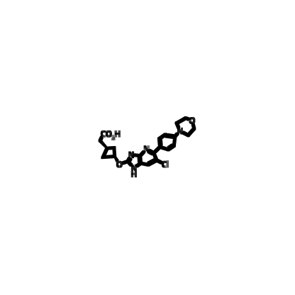 O=C(O)C[C@H]1C[C@@H](Oc2nc3nc(-c4ccc(N5CCOCC5)cc4)c(Cl)cc3[nH]2)C1